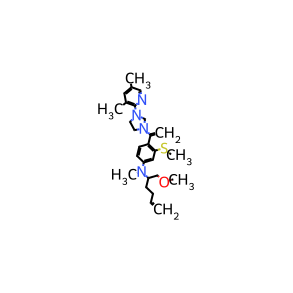 C=CCCC(COC)N(C)c1ccc(C(=C)N2CCN(c3ncc(C)cc3C)C2)c(SC)c1